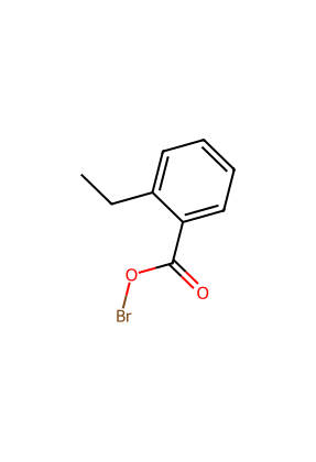 CCc1ccccc1C(=O)OBr